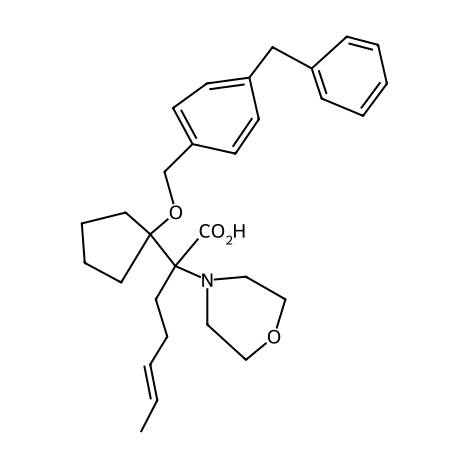 C/C=C/CCC(C(=O)O)(N1CCOCC1)C1(OCc2ccc(Cc3ccccc3)cc2)CCCC1